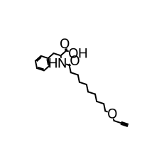 C#CCOCCCCCCCCCC(=O)NC(Cc1ccccc1)C(=O)O